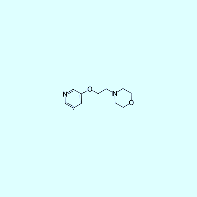 [c]1cncc(OCCN2CCOCC2)c1